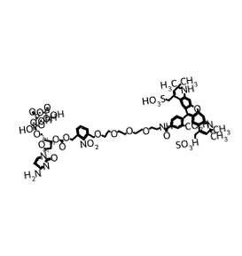 CC1(C)C=C(CS(=O)(=O)O)c2cc3c(cc2=N1)Oc1cc2c(cc1C=3c1ccc(C(=O)NCCOCCOCCOCCOCc3cccc(COC(=O)O[C@@H]4C[C@H](n5ccc(N)nc5=O)O[C@@H]4COP(=O)(O)OP(=O)(O)OP(=O)(O)O)c3[N+](=O)[O-])cc1C(=O)O)C(CS(=O)(=O)O)=CC(C)(C)N2